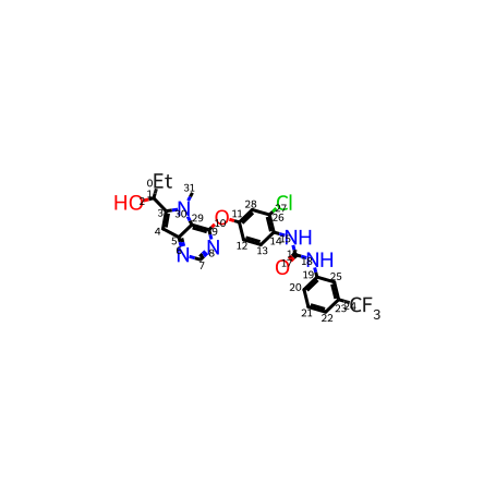 CCC(O)c1cc2ncnc(Oc3ccc(NC(=O)Nc4cccc(C(F)(F)F)c4)c(Cl)c3)c2n1C